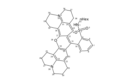 CCCCCCNS(=O)(=O)c1ccccc1C1=c2cc3c4c(c2Oc2c1cc1c5c2CCCN5CCC1)CCC[N+]=4CCC3